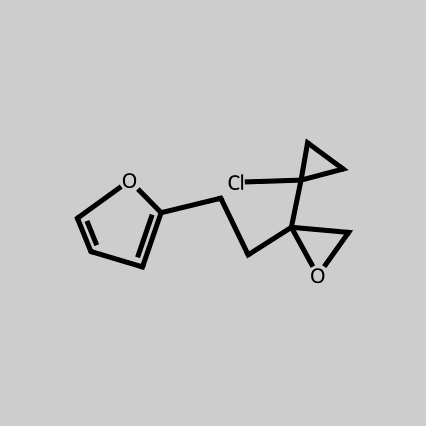 ClC1(C2(CCc3ccco3)CO2)CC1